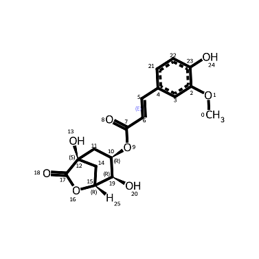 COc1cc(/C=C/C(=O)O[C@@H]2C[C@]3(O)C[C@@H](OC3=O)[C@@H]2O)ccc1O